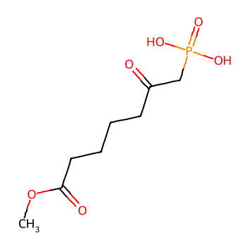 COC(=O)CCCCC(=O)CP(=O)(O)O